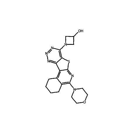 OC1CN(c2nnnc3c2sc2nc(N4CCOCC4)c4c(c23)CCCC4)C1